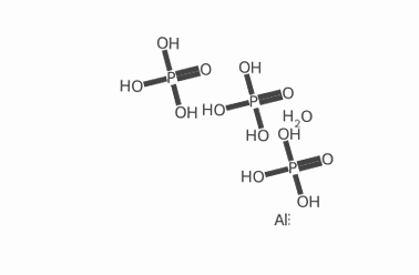 O.O=P(O)(O)O.O=P(O)(O)O.O=P(O)(O)O.[Al]